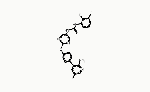 Nc1ncc(F)cc1-c1ccc(Oc2ncc(NC(=O)Nc3cccc(F)c3F)cn2)cc1